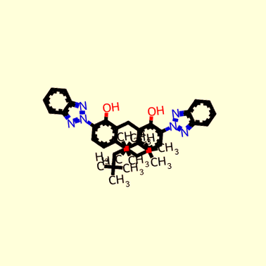 CC(C)(C)CC(C)(C)c1ccc(-n2nc3ccccc3n2)c(O)c1Cc1c(C(C)(C)CC(C)(C)C)ccc(-n2nc3ccccc3n2)c1O